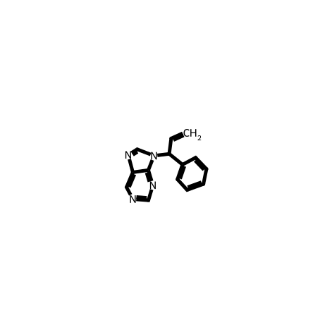 C=CC(c1ccccc1)n1cnc2cncnc21